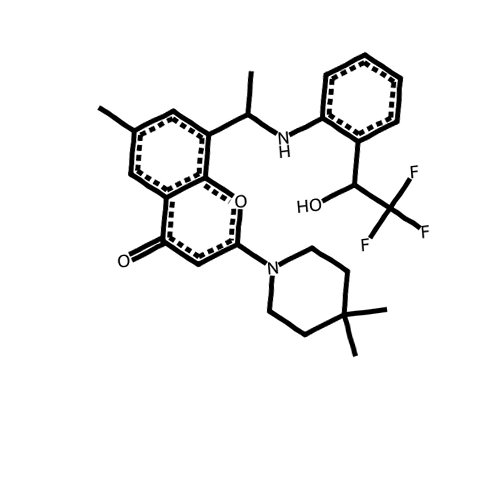 Cc1cc(C(C)Nc2ccccc2C(O)C(F)(F)F)c2oc(N3CCC(C)(C)CC3)cc(=O)c2c1